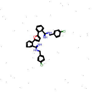 N=C(NCc1ccc(Cl)cc1)c1ccccc1-c1ccc(-c2ccccc2C(=N)NCc2ccc(Cl)cc2)o1